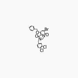 O=C1c2c(OCc3ccccc3)cc(Br)c(=O)n2CCN1Cc1ccc(Cl)c(Cl)c1